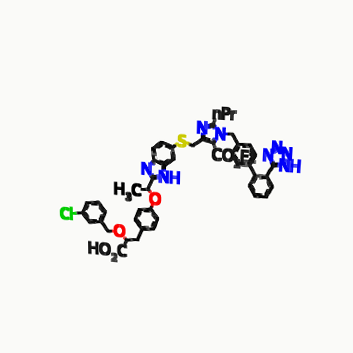 CCCc1nc(CSc2ccc3nc(C(C)Oc4ccc(CC(OCc5cccc(Cl)c5)C(=O)O)cc4)[nH]c3c2)c(C(=O)OCC)n1Cc1ccc(-c2ccccc2-c2nnn[nH]2)cc1